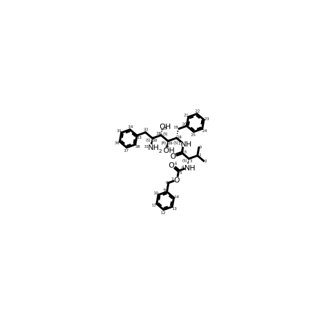 CC(C)[C@H](NC(=O)OCc1ccccc1)C(=O)N[C@@H](Cc1ccccc1)[C@@H](O)[C@@H](O)[C@@H](N)Cc1ccccc1